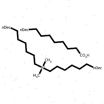 CCCCCCCCCCCCCCCCCC(=O)O.CCCCCCCCCCCCCCCC[N+](C)(C)CCCCCCCCCCCCCCCC